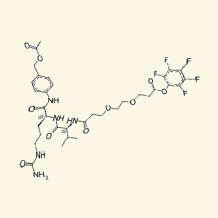 CC(=O)OCc1ccc(NC(=O)[C@H](CCCNC(N)=O)NC(=O)[C@@H](NC(=O)CCOCCOCCC(=O)Oc2c(F)c(F)c(F)c(F)c2F)C(C)C)cc1